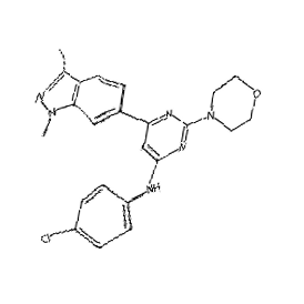 Cc1nn(C)c2cc(-c3cc(Nc4ccc(Cl)cc4)nc(N4CCOCC4)n3)ccc12